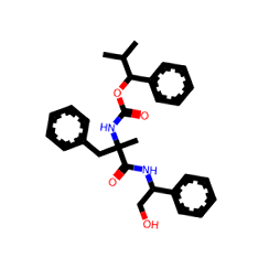 CC(C)C(OC(=O)NC(C)(Cc1ccccc1)C(=O)NC(CO)c1ccccc1)c1ccccc1